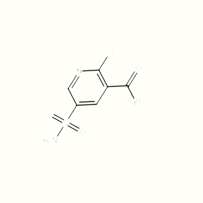 CCC(=O)c1cc(S(N)(=O)=O)cnc1Cl